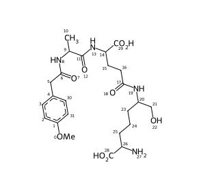 COc1ccc(CC(=O)NC(C)C(=O)NC(CCC(=O)NC(CO)CCCC(N)C(=O)O)C(=O)O)cc1